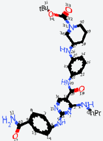 CCCNc1nc(Nc2ccc(C(N)=O)cc2)ncc1C(=O)Nc1cccc(NC2CCCN(C(=O)OC(C)(C)C)C2)c1